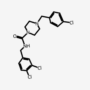 O=C(NCc1ccc(Cl)c(Cl)c1)N1CCN(Cc2ccc(Cl)cc2)CC1